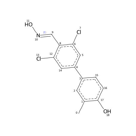 Cc1cc(-c2cc(Cl)c(/C=N/O)c(Cl)c2)ccc1O